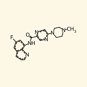 CN1CCN(c2cnc(C(=O)Nc3cc(F)cc4cccnc34)cn2)CC1